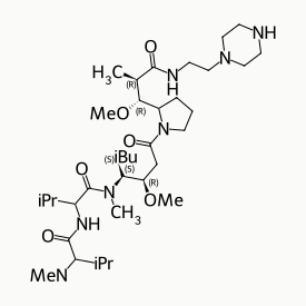 CC[C@H](C)[C@@H]([C@@H](CC(=O)N1CCCC1[C@H](OC)[C@@H](C)C(=O)NCCN1CCNCC1)OC)N(C)C(=O)C(NC(=O)C(NC)C(C)C)C(C)C